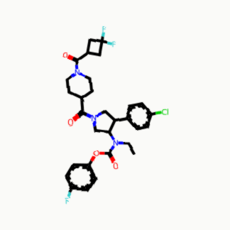 CCN(C(=O)Oc1ccc(F)cc1)C1CN(C(=O)C2CCN(C(=O)C3CC(F)(F)C3)CC2)CC1c1ccc(Cl)cc1